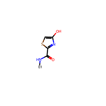 CCNC(=O)c1nc(O)cs1